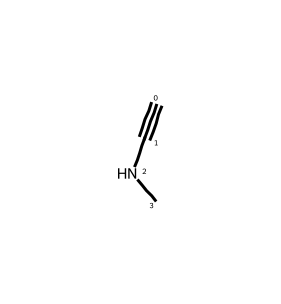 C#CNC